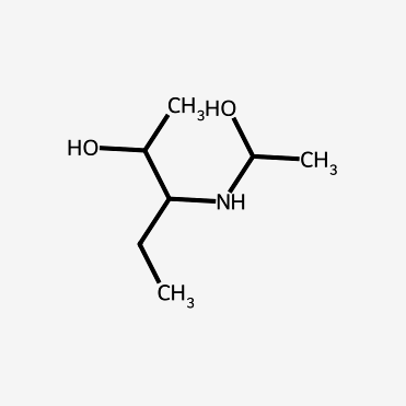 CCC(NC(C)O)C(C)O